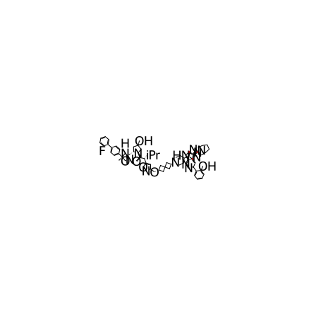 CC(C)[C@@H](C(=O)N1C[C@H](O)C[C@H]1C1=NO[C@](C)(c2ccc(-c3ccccc3F)cc2)N1)c1cc(O[C@H]2CC3(C2)C[C@H](N2CCC(c4cnc(N5C6CCC5CN(c5c[nH]c7nnc(-c8ccccc8O)cc57)C6)nc4)CC2)C3)no1